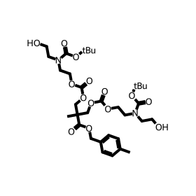 Cc1ccc(COC(=O)C(C)(COC(=O)OCCN(CCO)C(=O)OC(C)(C)C)COC(=O)OCCN(CCO)C(=O)OC(C)(C)C)cc1